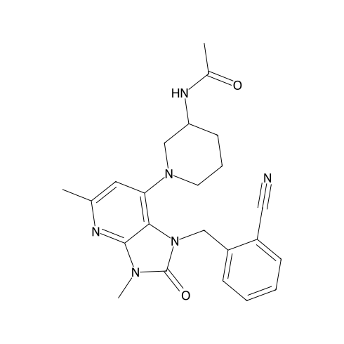 CC(=O)NC1CCCN(c2cc(C)nc3c2n(Cc2ccccc2C#N)c(=O)n3C)C1